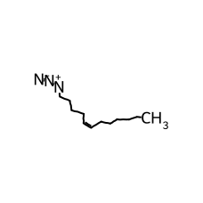 CCCCCC/C=C\CCCCN=[N+]=[N-]